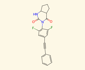 O=C1NC2CCCC2C(=O)N1c1c(F)cc(C#Cc2ccccc2)cc1F